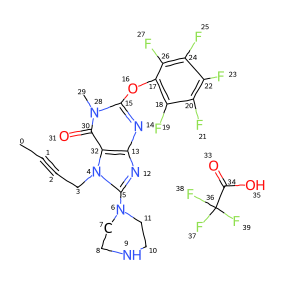 CC#CCn1c(N2CCNCC2)nc2nc(Oc3c(F)c(F)c(F)c(F)c3F)n(C)c(=O)c21.O=C(O)C(F)(F)F